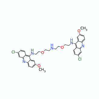 COc1ccc2nc3cc(Cl)ccc3c(NCCOCCNCCOCCNc3c4ccc(Cl)cc4nc4ccc(OC)cc34)c2c1